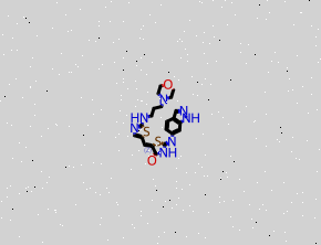 O=C1NC(=Nc2ccc3cn[nH]c3c2)S/C1=C\c1cnc(NCCCN2CCOCC2)s1